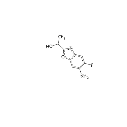 Nc1cc2oc(C(O)C(F)(F)F)nc2cc1F